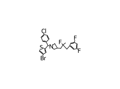 CC(F)(Cc1cc(F)cc(F)c1)CC1CN(C(c2ccc(Cl)cc2)c2cc(Br)cs2)C1